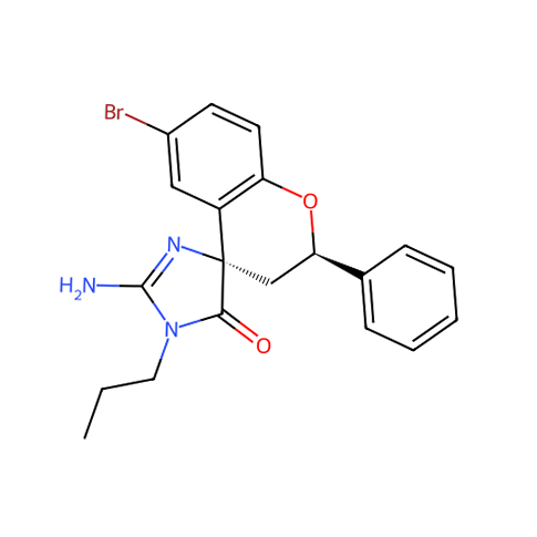 CCCN1C(=O)[C@@]2(C[C@H](c3ccccc3)Oc3ccc(Br)cc32)N=C1N